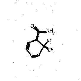 CCC1(C(F)(F)F)C=CC=CC1C(N)=O